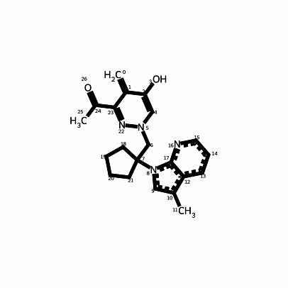 C=C1C(O)=CN(CC2(n3cc(C)c4cccnc43)CCCC2)N=C1C(C)=O